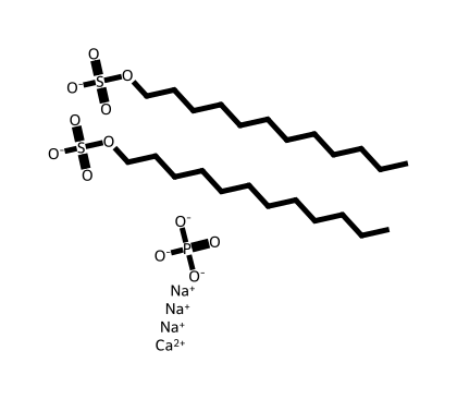 CCCCCCCCCCCCOS(=O)(=O)[O-].CCCCCCCCCCCCOS(=O)(=O)[O-].O=P([O-])([O-])[O-].[Ca+2].[Na+].[Na+].[Na+]